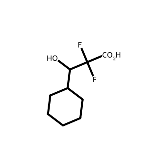 O=C(O)C(F)(F)C(O)C1CCCCC1